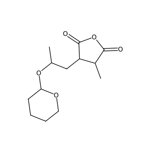 CC(CC1C(=O)OC(=O)C1C)OC1CCCCO1